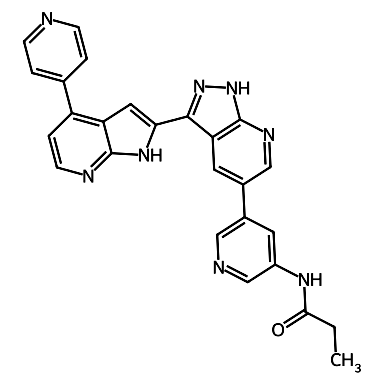 CCC(=O)Nc1cncc(-c2cnc3[nH]nc(-c4cc5c(-c6ccncc6)ccnc5[nH]4)c3c2)c1